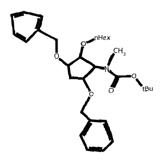 CCCCCCOC1C(OCc2ccccc2)CC(OCc2ccccc2)C1N(C)C(=O)OC(C)(C)C